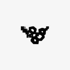 [N-]=[N+]=NC1CCC[C@@H](N2c3ccccc3CCc3cc(F)ccc32)[C@@H]1O